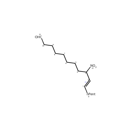 CCCCC/C=C/C(CCCCCCC[C]=O)[N+](=O)[O-]